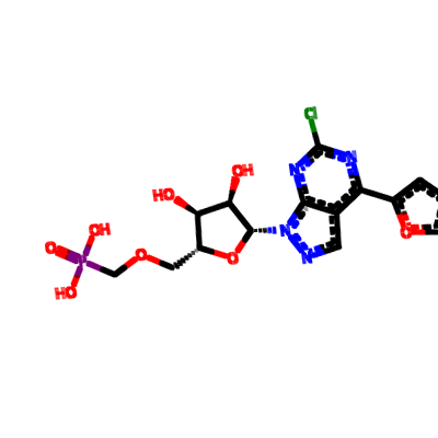 Cc1ccc(-c2nc(Cl)nc3c2cnn3[C@@H]2O[C@H](COCP(=O)(O)O)[C@@H](O)[C@H]2O)o1